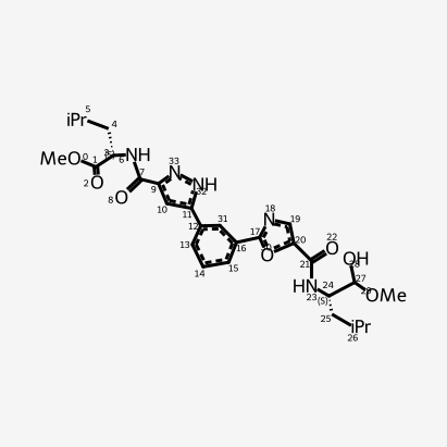 COC(=O)[C@H](CC(C)C)NC(=O)c1cc(-c2cccc(-c3ncc(C(=O)N[C@@H](CC(C)C)C(O)OC)o3)c2)[nH]n1